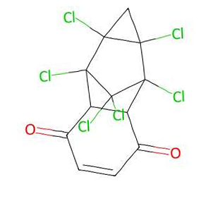 O=C1C=CC(=O)C2C1C1(Cl)C(Cl)(Cl)C2(Cl)C2(Cl)CC21Cl